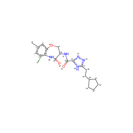 Cc1cc(F)c2c(c1)OCC(NC(=O)c1nnc(CCC3CCCC3)[nH]1)C(=O)N2